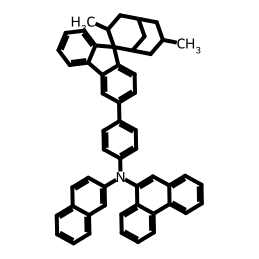 CC1CC2CC(C)C3(c4ccccc4-c4cc(-c5ccc(N(c6ccc7ccccc7c6)c6cc7ccccc7c7ccccc67)cc5)ccc43)C(C1)C2